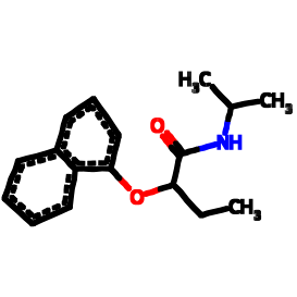 CCC(Oc1cccc2ccccc12)C(=O)NC(C)C